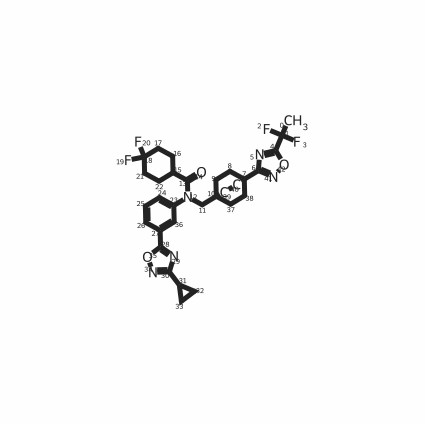 CC(F)(F)c1nc(C23CCC(CN(C(=O)C4CCC(F)(F)CC4)c4cccc(-c5nc(C6CC6)no5)c4)(CC2)CC3)no1